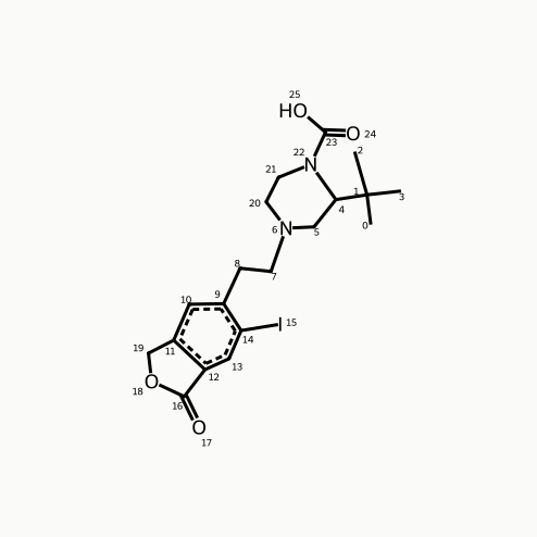 CC(C)(C)C1CN(CCc2cc3c(cc2I)C(=O)OC3)CCN1C(=O)O